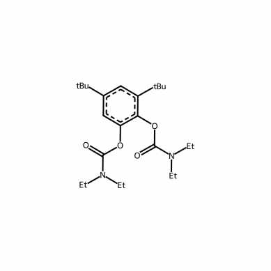 CCN(CC)C(=O)Oc1cc(C(C)(C)C)cc(C(C)(C)C)c1OC(=O)N(CC)CC